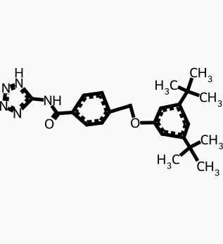 CC(C)(C)c1cc(OCc2ccc(C(=O)Nc3nnn[nH]3)cc2)cc(C(C)(C)C)c1